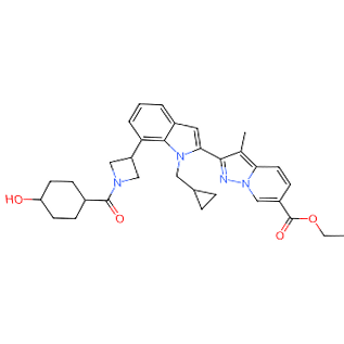 CCOC(=O)c1ccc2c(C)c(-c3cc4cccc(C5CN(C(=O)C6CCC(O)CC6)C5)c4n3CC3CC3)nn2c1